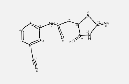 N#Cc1cccc(NC(=O)CC2SC(=N)NC2=O)c1